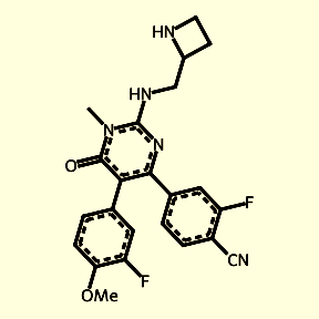 COc1ccc(-c2c(-c3ccc(C#N)c(F)c3)nc(NCC3CCN3)n(C)c2=O)cc1F